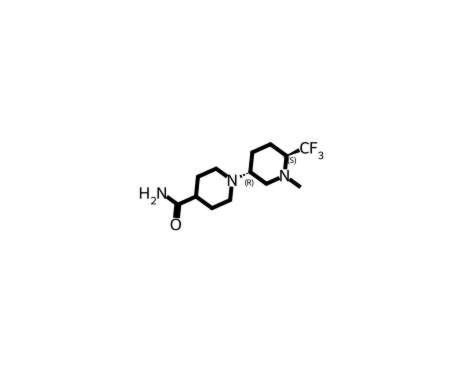 CN1C[C@H](N2CCC(C(N)=O)CC2)CC[C@H]1C(F)(F)F